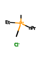 CCC[P+](C)(C)CC.[Cl-]